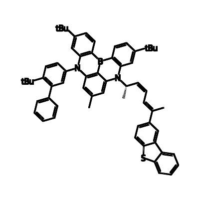 C/C(=C\C=C/[C@H](C)N1c2cc(C(C)(C)C)ccc2B2c3ccc(C(C)(C)C)cc3N(c3ccc(C(C)(C)C)c(-c4ccccc4)c3)c3cc(C)cc1c32)c1ccc2sc3ccccc3c2c1